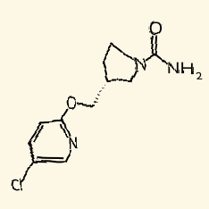 NC(=O)N1CC[C@@H](COc2ccc(Cl)cn2)C1